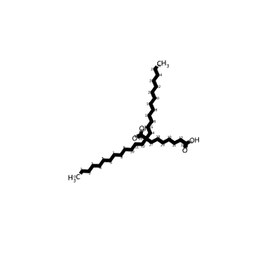 CCCCCCCCCCCCCC(CCCCCCCCCCCCC)(CCCCCCC(=O)O)C(=O)O